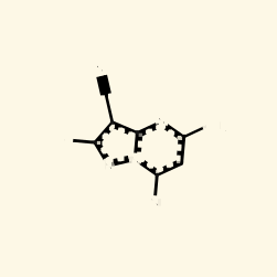 Cc1cc(N)n2nc(C)c(C#N)c2n1